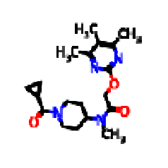 Cc1nc(OCC(=O)N(C)C2CCN(C(=O)C3CC3)CC2)nc(C)c1C